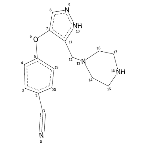 N#Cc1ccc(Oc2cn[nH]c2CN2CCNCC2)cc1